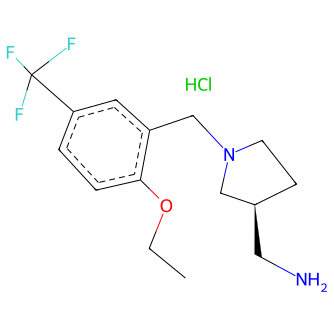 CCOc1ccc(C(F)(F)F)cc1CN1CC[C@@H](CN)C1.Cl